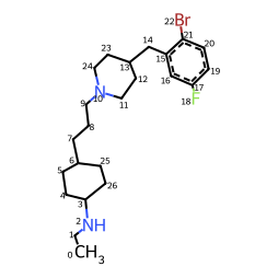 CCNC1CCC(CCCN2CCC(Cc3cc(F)ccc3Br)CC2)CC1